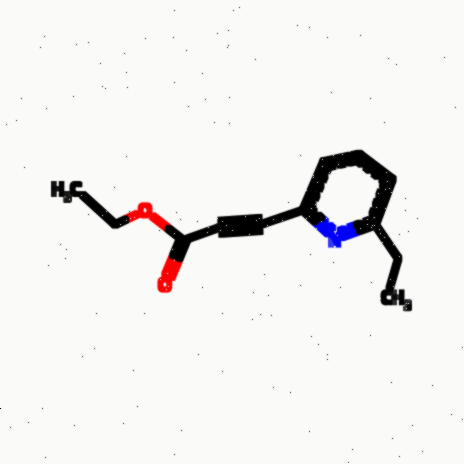 CCOC(=O)C#Cc1cccc(CC)n1